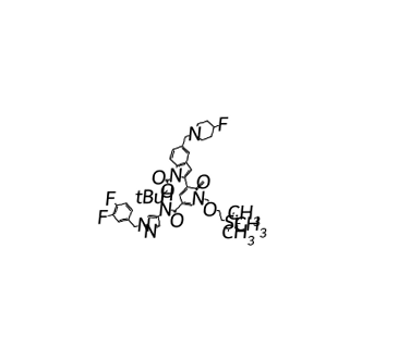 CC(C)(C)OC(=O)n1c(-c2cc(C(=O)Nc3cnn(Cc4ccc(F)c(F)c4)c3)cn(COCC[Si](C)(C)C)c2=O)cc2cc(CN3CCC(F)CC3)ccc21